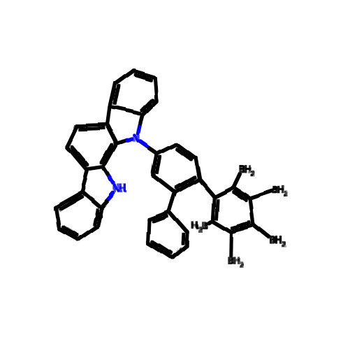 Bc1c(B)c(B)c(-c2ccc(-n3c4ccccc4c4ccc5c6ccccc6[nH]c5c43)cc2-c2ccccc2)c(B)c1B